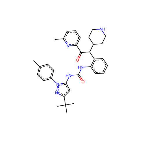 Cc1ccc(-n2nc(C(C)(C)C)cc2NC(=O)Nc2ccccc2C(C(=O)c2cccc(C)n2)C2CCNCC2)cc1